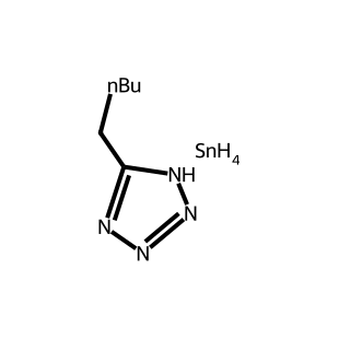 CCCCCc1nnn[nH]1.[SnH4]